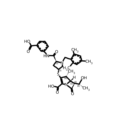 Cc1cc(C)c(CN2C[C@@H](SC3=C(C(=O)O)N4C(=O)[C@H]([C@@H](C)O)[C@H]4[C@H]3C)C[C@H]2C(=O)Nc2cccc(C(=O)O)c2)c(C)c1